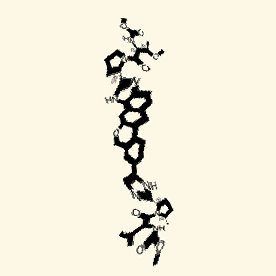 COC(=O)NC(C(=O)N1[C@@H](C)CC[C@H]1c1ncc(-c2ccc3c(c2)COc2cc4c(ccc5nc([C@@H]6CCCN6C(=O)[C@@H](NC(=O)OC)[C@@H](C)OC)[nH]c54)cc2-3)[nH]1)C(C)C